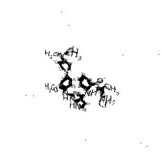 COc1cc(N2CCC(N(C)C)CC2)ccc1Nc1nc2c(c(Nc3ccccc3[S+]([O-])CC(C)C)n1)CCN2